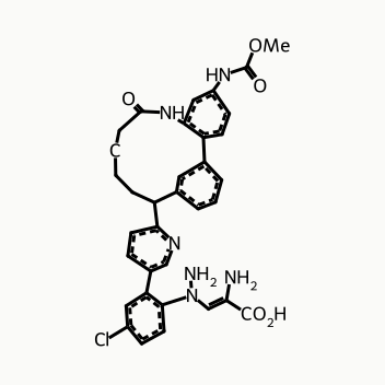 COC(=O)Nc1ccc2c(c1)NC(=O)CCCCC(c1ccc(-c3cc(Cl)ccc3N(N)/C=C(\N)C(=O)O)cn1)c1cccc-2c1